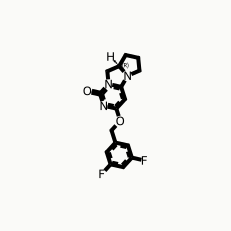 O=c1nc(OCc2cc(F)cc(F)c2)cc2n1C[C@H]1CCCN21